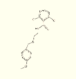 COc1ccc(CSCCNC(=O)c2c(Cl)cccc2Cl)cc1